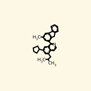 Cc1cc2c(c(-c3nccc4c(CC(C)C)cc(C5CCCC5)cc34)c1)Cc1ccccc1-2